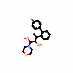 CC(c1ccccc1-c1ccc(F)cc1)C(O)C(O)N1CCOCC1